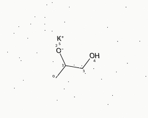 CC([O-])CO.[K+]